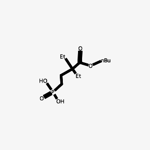 CCCCOC(=O)C(CC)(CC)CCP(=O)(O)O